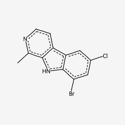 Cc1nccc2c1[nH]c1c(Br)cc(Cl)cc12